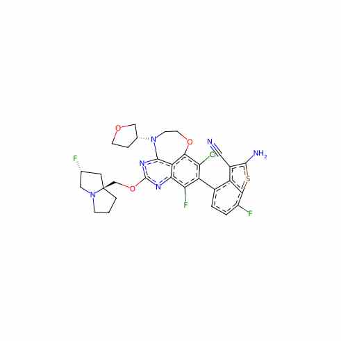 N#Cc1c(N)sc2c(F)ccc(-c3c(Cl)c4c5c(nc(OC[C@@]67CCCN6C[C@H](F)C7)nc5c3F)N([C@@H]3CCOC3)CCO4)c12